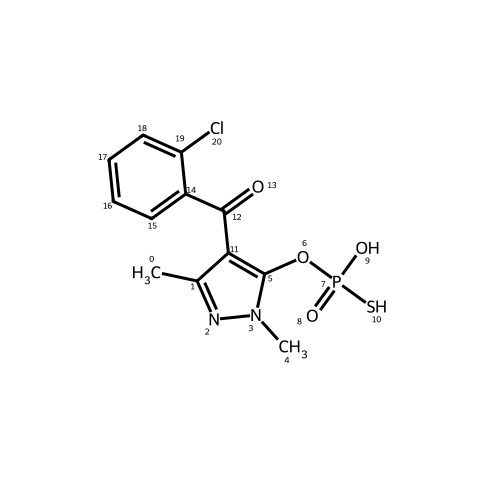 Cc1nn(C)c(OP(=O)(O)S)c1C(=O)c1ccccc1Cl